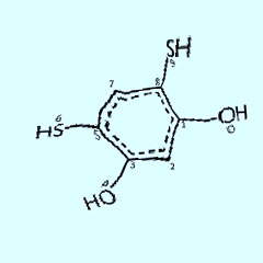 Oc1cc(O)c(S)cc1S